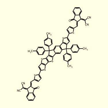 Cc1ccc(C2(c3ccc(C)cc3)c3cc4c(cc3-c3sc(-c5ccc(/C=C6\C(=O)c7ccccc7C6=C(C#N)C#N)s5)cc32)C(c2ccc(C)cc2)(c2ccc(C)cc2)c2c-4sc3c2sc2cc(-c4ccc(/C=C5\C(=O)c6ccccc6C5=C(C#N)C#N)s4)sc23)cc1